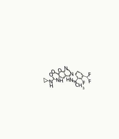 C[C@@H](Nc1ncnc2oc(=O)c(NC(=O)NC3CC3)cc12)c1cccc(C(F)F)c1F